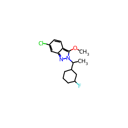 COc1c2ccc(Cl)cc2nn1C(C)C1CCCC(F)C1